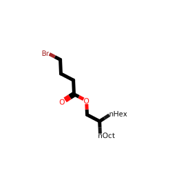 CCCCCCCCC(CCCCCC)COC(=O)CCCBr